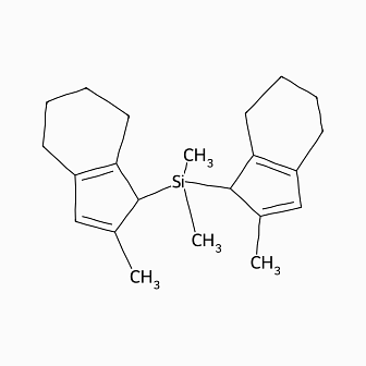 CC1=CC2=C(CCCC2)C1[Si](C)(C)C1C(C)=CC2=C1CCCC2